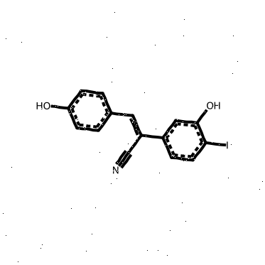 N#CC(=Cc1ccc(O)cc1)c1ccc(I)c(O)c1